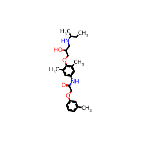 CCC(C)NCC(O)COc1c(C)cc(NC(=O)COc2cccc(C)c2)cc1C